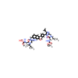 CCCN(Cc1nc(C2CC2)c(-c2ccc3c(c2)COc2cc4c5c(ccc4cc2-3)CN=C(CN(C(=O)CNC(=O)O)[C@@H](C)CC)N5)[nH]1)C(=O)CNC(=O)OC